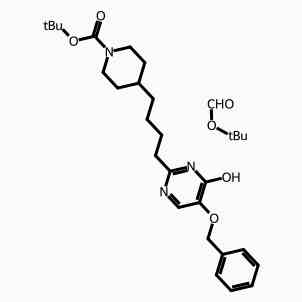 CC(C)(C)OC(=O)N1CCC(CCCCc2ncc(OCc3ccccc3)c(O)n2)CC1.CC(C)(C)OC=O